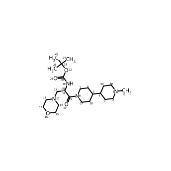 CN1CCC(C2CCN(C(=O)[C@@H](CN3CCOCC3)NC(=O)OC(C)(C)C)CC2)CC1